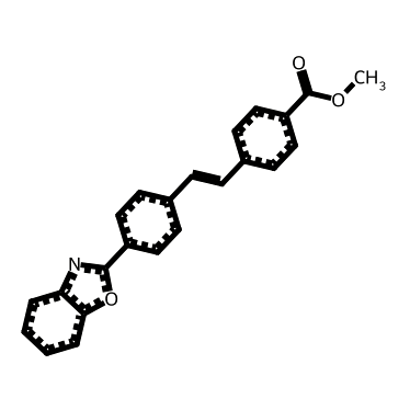 COC(=O)c1ccc(C=Cc2ccc(-c3nc4ccccc4o3)cc2)cc1